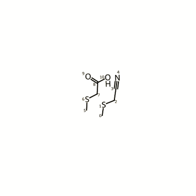 CSCC#N.CSCC(=O)O